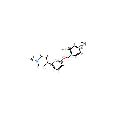 CC(C)N1CCC(c2cccc(OCc3ccc(C#N)cc3F)n2)CC1